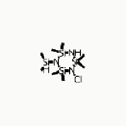 C[SiH](C)N1[Si](C)(C)N[Si](C)(C)N(Cl)[Si]1(C)C